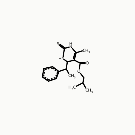 CC1=C(C(=O)OCC(C)C)C(C(C)c2ccccc2)NC(=S)N1